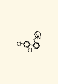 Clc1ccc(-c2ccccc2CC2CC3CCN2CC3)c(Cl)c1